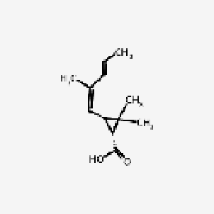 CC=CC(C)=C[C@@H]1[C@@H](C(=O)O)C1(C)C